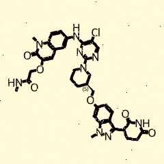 CNC(=O)COc1cc2cc(Nc3nc(N4CCC[C@H](COc5ccc6c(C7CCC(=O)NC7=O)nn(C)c6c5)C4)ncc3Cl)ccc2n(C)c1=O